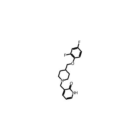 O=c1[nH]cccc1CN1CCC(COc2ccc(F)cc2F)CC1